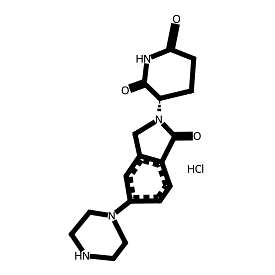 Cl.O=C1CC[C@H](N2Cc3cc(N4CCNCC4)ccc3C2=O)C(=O)N1